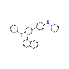 c1ccc(Nc2ccc(-c3ccc(Nc4ccccc4)c(-c4cccc5ccccc45)c3)cc2)cc1